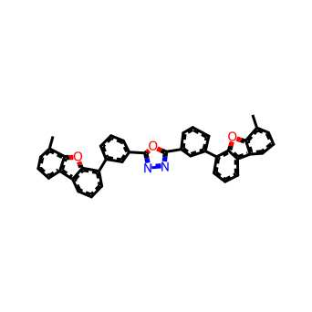 Cc1cccc2c1oc1c(-c3cccc(-c4nnc(-c5cccc(-c6cccc7c6oc6c(C)cccc67)c5)o4)c3)cccc12